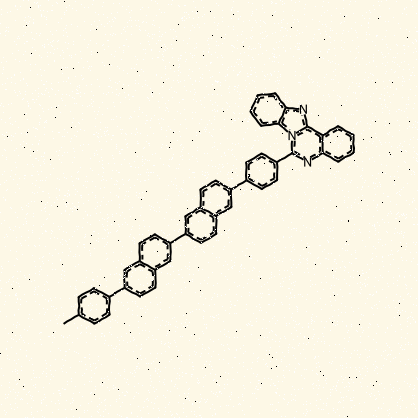 Cc1ccc(-c2ccc3cc(-c4ccc5cc(-c6ccc(-c7nc8ccccc8c8nc9ccccc9n78)cc6)ccc5c4)ccc3c2)cc1